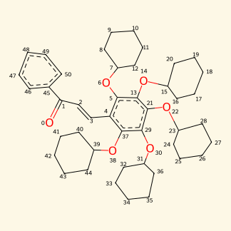 O=C(C=Cc1c(OC2CCCCC2)c(OC2CCCCC2)c(OC2CCCCC2)c(OC2CCCCC2)c1OC1CCCCC1)c1ccccc1